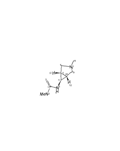 C=C(NC)N[C@H]1[C@@H]2CN(C)C[C@@H]21